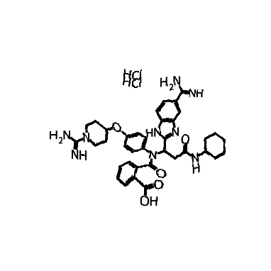 Cl.Cl.N=C(N)c1ccc2[nH]c(C(CC(=O)NC3CCCCC3)N(C(=O)c3ccccc3C(=O)O)c3ccc(OC4CCN(C(=N)N)CC4)cc3)nc2c1